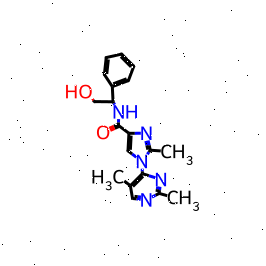 Cc1ncc(C)c(-n2cc(C(=O)NC(CO)c3ccccc3)nc2C)n1